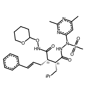 Cc1cc(N(NC(=O)[C@H](CC(C)C)[C@H](CC=Cc2ccccc2)C(=O)NOC2CCCCO2)S(C)(=O)=O)nc(C)n1